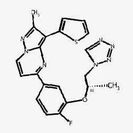 Cc1nn2ccc(-c3ccc(F)c(O[C@@H](C)Cn4cnnn4)c3)nc2c1-c1cccs1